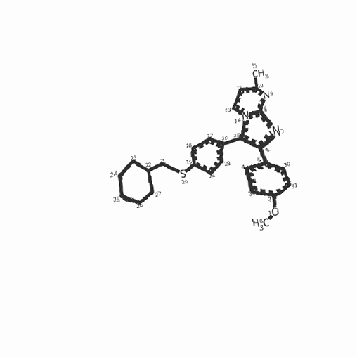 COc1ccc(-c2nc3nc(C)ccn3c2-c2ccc(SCC3CCCCC3)cc2)cc1